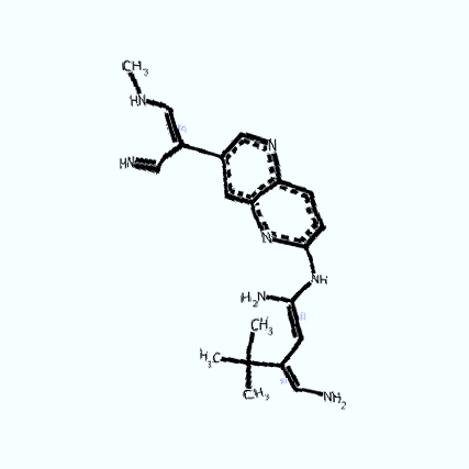 CN/C=C(\C=N)c1cnc2ccc(N/C(N)=C/C(=C\N)C(C)(C)C)nc2c1